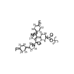 CC(C)(C)OC(=O)N1CCC(c2c(C(=O)N3CCC(c4ccc(F)cc4)C3)cnn2-c2ccc(F)cc2)CC1